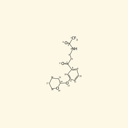 O=C(CCNC(=O)C(F)(F)F)c1cccc(OC2CCCCO2)c1